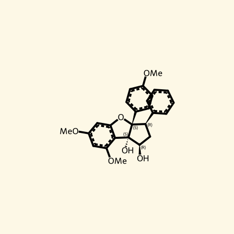 COc1ccc([C@]23Oc4cc(OC)cc(OC)c4[C@]2(O)[C@H](O)C[C@@H]3c2ccccc2)cc1